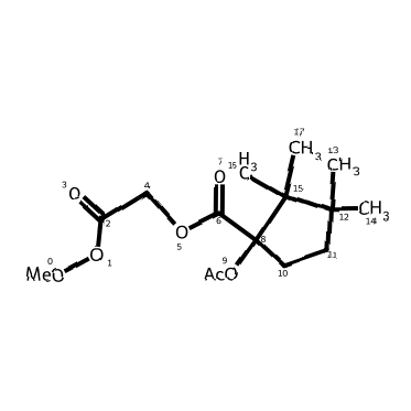 COOC(=O)COC(=O)C1(OC(C)=O)CCC(C)(C)C1(C)C